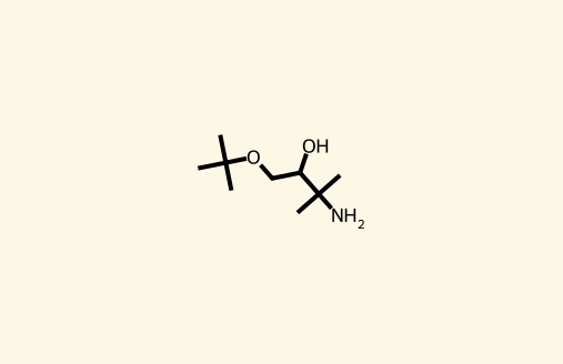 CC(C)(C)OCC(O)C(C)(C)N